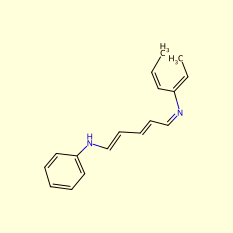 C\C=C/C(=C\C)/N=C\C=C\C=C\Nc1ccccc1